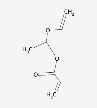 C=COC(C)OC(=O)C=C